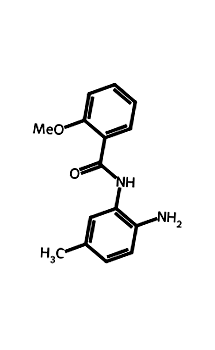 COc1ccccc1C(=O)Nc1cc(C)ccc1N